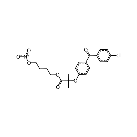 CC(C)(Oc1ccc(C(=O)c2ccc(Cl)cc2)cc1)C(=O)OCCCCO[N+](=O)[O-]